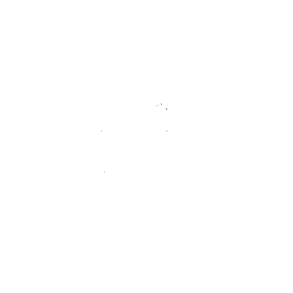 Ic1ccccc1Cc1ncco1